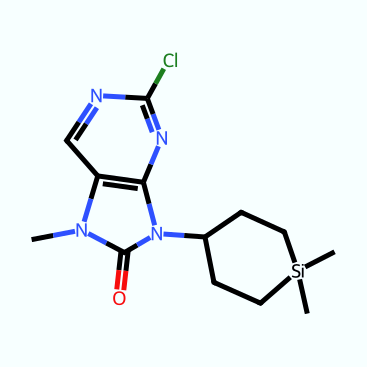 Cn1c(=O)n(C2CC[Si](C)(C)CC2)c2nc(Cl)ncc21